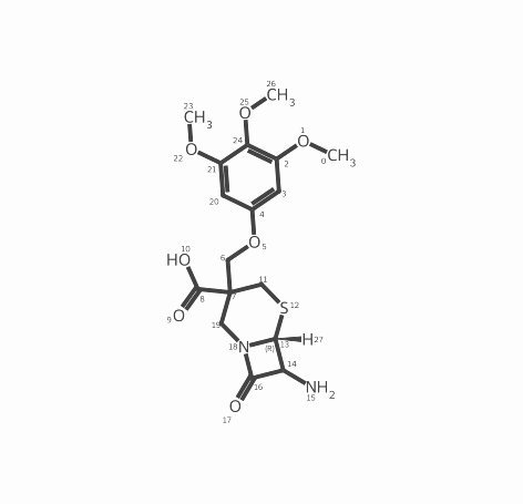 COc1cc(OCC2(C(=O)O)CS[C@@H]3C(N)C(=O)N3C2)cc(OC)c1OC